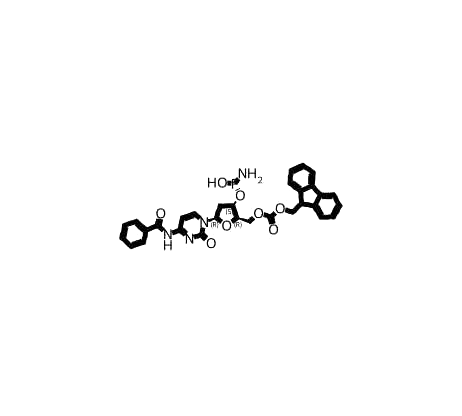 NP(O)O[C@H]1C[C@H](n2ccc(NC(=O)c3ccccc3)nc2=O)O[C@@H]1COC(=O)OCC1c2ccccc2-c2ccccc21